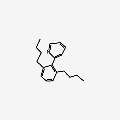 CCCCc1cccc(CCCC)c1-c1ccccn1